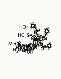 COC(=O)CCC(C)[C@H]1CC[C@H]2[C@@H]3[C@H](O)C[C@@H]4C[C@@H](NC(=O)C(CCC(=O)OCc5ccccc5)NC(=O)C(CCC(=O)OCc5ccccc5)NC(=O)C(CCC(=O)OCc5ccccc5)NC(=O)C(N)CCC(=O)O)CC[C@]4(C)[C@H]3C[C@H](O)[C@]12C.Cl